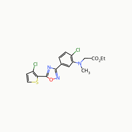 CCOC(=O)CN(C)c1cc(-c2noc(-c3sccc3Cl)n2)ccc1Cl